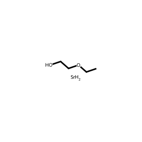 CCOCCO.[SrH2]